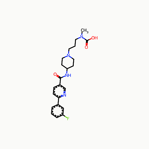 CN(CCCN1CCC(NC(=O)c2ccc(-c3cccc(F)c3)nc2)CC1)C(=O)O